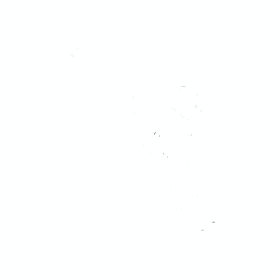 CCCCCCCCCCCCCCCCCN1C=CN(CCCCCCCCCCCCCC)C1Cc1ccccc1